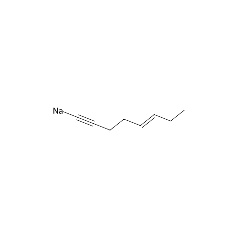 CCC=CCCC#[C][Na]